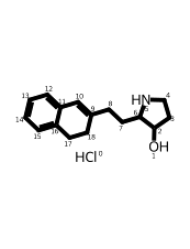 Cl.OC1CCNC1CCC1=Cc2ccccc2CC1